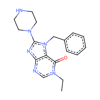 CCn1cnc2nc(N3CCNCC3)n(Cc3ccccc3)c2c1=O